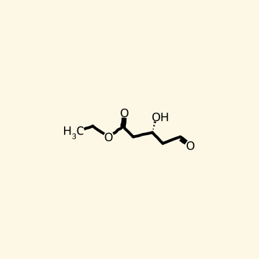 CCOC(=O)C[C@H](O)CC=O